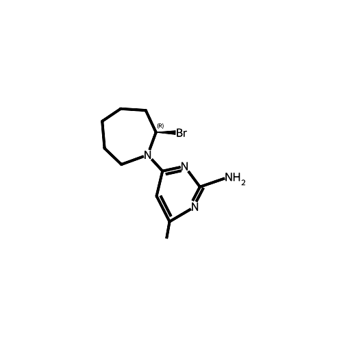 Cc1cc(N2CCCCC[C@H]2Br)nc(N)n1